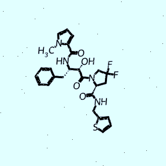 Cn1cccc1C(=O)N[C@@H](Cc1ccccc1)[C@H](O)C(=O)N1CC(F)(F)C[C@H]1C(=O)NCc1cccs1